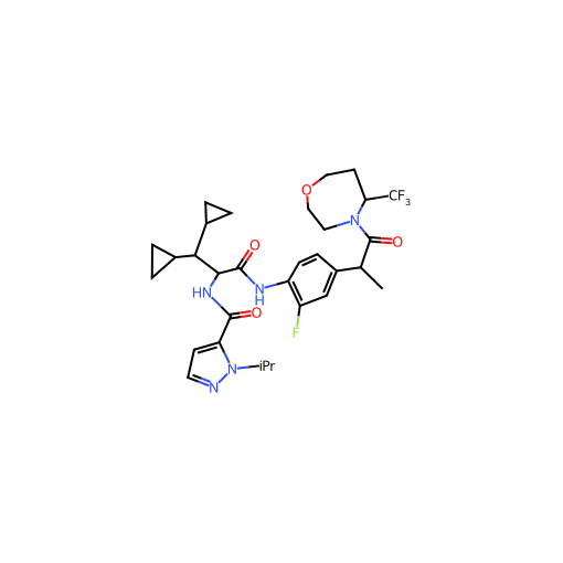 CC(C(=O)N1CCOCCC1C(F)(F)F)c1ccc(NC(=O)C(NC(=O)c2ccnn2C(C)C)C(C2CC2)C2CC2)c(F)c1